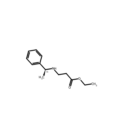 CCOC(=O)CCN[C@@H](C)c1ccccc1